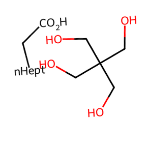 CCCCCCCCC(=O)O.OCC(CO)(CO)CO